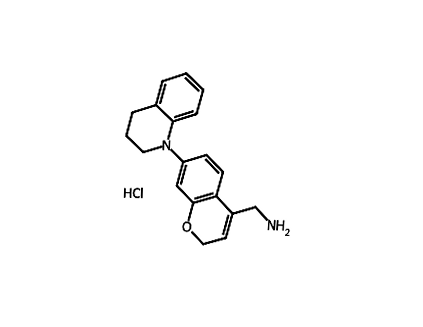 Cl.NCC1=CCOc2cc(N3CCCc4ccccc43)ccc21